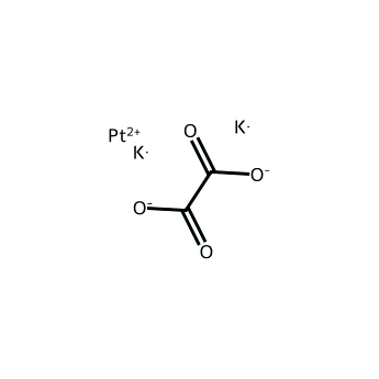 O=C([O-])C(=O)[O-].[K].[K].[Pt+2]